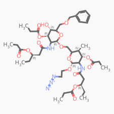 CCC(=O)O[C@H](CC)CC(=O)NC1[C@H](OCCN=[N+]=[N-])OC(CO[C@@H]2OC(COCc3ccccc3)[C@@H](O)[C@H](OC(=O)CC)C2NC(=O)C[C@@H](CC)OC(=O)CC)[C@@H](C)[C@@H]1OC(=O)CC